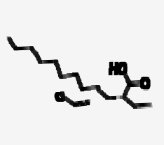 C=CC(CCCCCCCCCC)C(=O)O.C=CCl